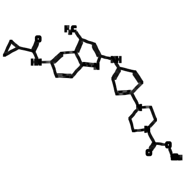 CC(C)(C)OC(=O)N1CCN(c2ccc(Nc3cc(C(F)(F)F)c4cc(NC(=O)C5CC5)ccc4n3)cc2)CC1